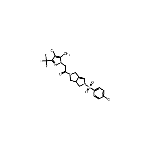 Cc1c(Cl)c(C(F)(F)F)nn1CC(=O)N1CC2=CN(S(=O)(=O)c3ccc(Cl)cc3)CC2C1